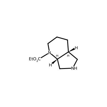 CCOC(=O)N1CCC[C@@H]2CNC[C@@H]21